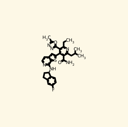 CCc1nc(CC(C)C)c(C(N)=O)c(-c2cc3ccnc(N[C@@H]4CCc5cc(F)ccc54)c3s2)c1-c1nnc(C)o1